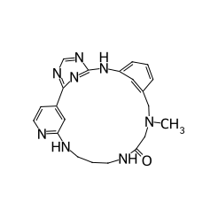 CN1CC(=O)NCCCNc2cc(ccn2)-c2ncnc(n2)Nc2cccc(c2)C1